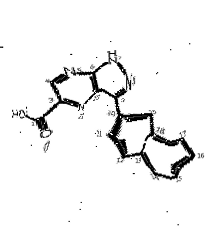 O=C(O)c1cnc2[nH]nc(-c3ccc4ccccc4c3)c2n1